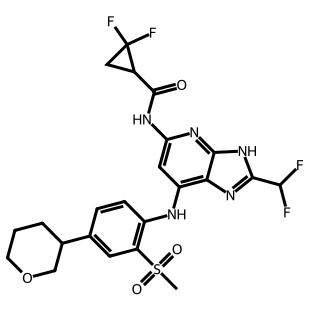 CS(=O)(=O)c1cc(C2CCCOC2)ccc1Nc1cc(NC(=O)C2CC2(F)F)nc2[nH]c(C(F)F)nc12